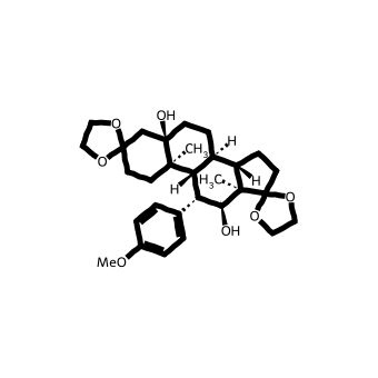 COc1ccc([C@@H]2[C@H]3[C@@H](CC[C@@]4(O)CC5(CC[C@]34C)OCCO5)[C@@H]3CCC4(OCCO4)[C@@]3(C)[C@H]2O)cc1